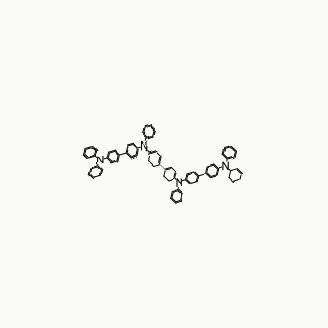 C1=CCC(N(c2ccccc2)c2ccc(-c3ccc(N(C4=CC=C(C5=CC=C(N(c6ccccc6)c6ccc(-c7ccc(N(c8ccccc8)c8ccccc8)cc7)cc6)CC5)CC4)c4ccccc4)cc3)cc2)C=C1